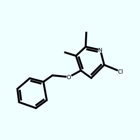 Cc1nc(Cl)cc(OCc2ccccc2)c1C